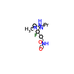 Cc1cccc(-c2[nH]c(C(C)C)nc2-c2ccc(F)c(-c3ccc(CC(=O)NC4CCOCC4)cc3)c2)n1